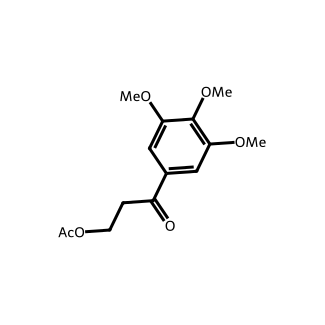 COc1cc(C(=O)CCOC(C)=O)cc(OC)c1OC